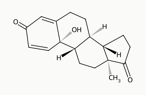 C[C@]12CC[C@H]3[C@@H](CCC4=CC(=O)C=C[C@@]43O)[C@@H]1CCC2=O